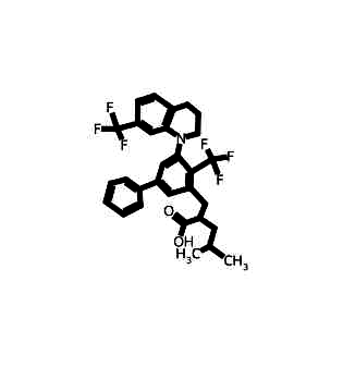 CC(C)CC(Cc1cc(-c2ccccc2)cc(N2CCCc3ccc(C(F)(F)F)cc32)c1C(F)(F)F)C(=O)O